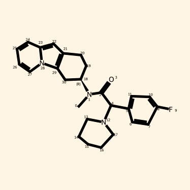 CN(C(=O)C(c1ccc(F)cc1)N1CCCCC1)[C@@H]1CCc2[c]c3ccccn3c2C1